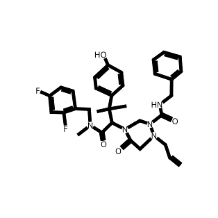 C=CCN1CC(=O)N(C(C(=O)N(C)Cc2ccc(F)cc2F)C(C)(C)c2ccc(O)cc2)CN1C(=O)NCc1ccccc1